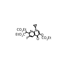 CCOC(=O)Oc1cn(C2CC2)c2nc(C(C(=O)OCC)C(=O)OCC)c(F)cc2c1=O